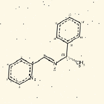 C[C@H](N=Cc1ccccn1)c1ccccc1